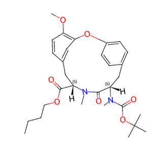 CCCCOC(=O)[C@@H]1Cc2ccc(OC)c(c2)Oc2ccc(cc2)C[C@H](N(C)C(=O)OC(C)(C)C)C(=O)N1C